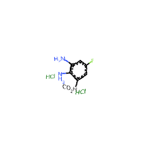 Cl.Cl.Nc1cc(F)cc(C(=O)O)c1N